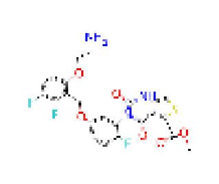 COC(=O)c1scc2[nH]c(=O)n(-c3cc(OCc4c(OCCN)ccc(F)c4F)ccc3F)c(=O)c12